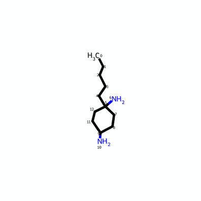 CCCCCC1(N)CCC(N)CC1